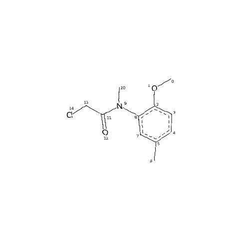 COc1ccc(C)cc1N(C)C(=O)CCl